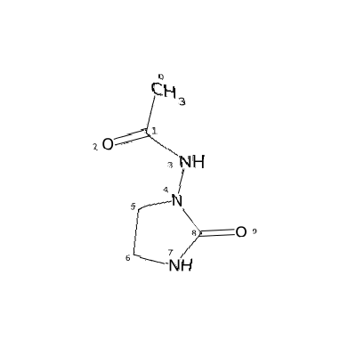 CC(=O)NN1CCNC1=O